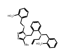 C=CCN(Cc1ccccc1C(=O)O)c1ccccc1Cn1c(CCCC)nnc1SCc1ccccc1C(=O)O